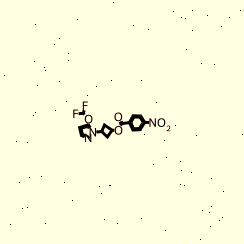 O=C(OC1CC(n2nccc2OC(F)F)C1)c1ccc([N+](=O)[O-])cc1